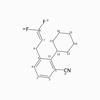 N#Cc1cccc(CC=C(F)F)c1C1CCCCC1